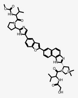 COC(=O)NC(C(=O)N1CCCC1c1ncc(-c2ccc3oc(-c4ccc5c(ccc6nc([C@@H]7C[Si](C)(C)CN7C(=O)C(NC(=O)CO)C(C)C)[nH]c65)c4)cc3c2)[nH]1)C(C)C